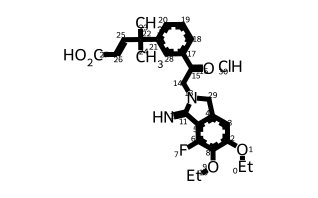 CCOc1cc2c(c(F)c1OCC)C(=N)N(CC(=O)c1cccc(C(C)(C)C=CC(=O)O)c1)C2.Cl